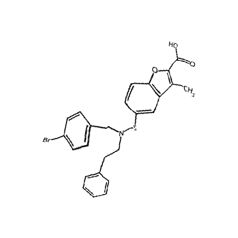 Cc1c(C(=O)O)oc2ccc(SN(CCc3ccccc3)Cc3ccc(Br)cc3)cc12